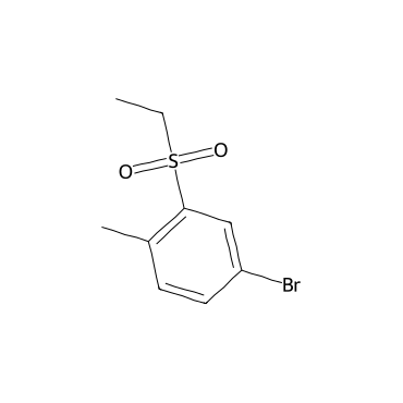 CCS(=O)(=O)c1cc(Br)ccc1C